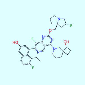 CCc1c(F)ccc2cc(O)cc(-c3ncc4c(N5CCCC6(CCC6O)C5)nc(OC[C@@]56CCCN5C[C@H](F)C6)nc4c3F)c12